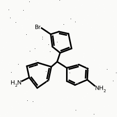 Nc1ccc(C(c2ccc(N)cc2)c2cccc(Br)c2)cc1